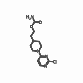 NC(=O)OCCC1CCN(c2ccnc(Cl)n2)CC1